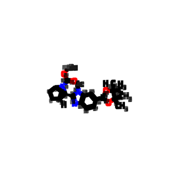 CC(=O)n1c([C@@H]2[C@H]3CCC(C3)N2C(=O)OC(C)(C)C)nc2ccc(B3OC(C)(C)C(C)(C)O3)cc21